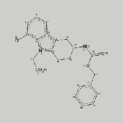 O=C(O)Cn1c2c(c3cccc(Cl)c31)CC(NC(=O)OCc1ccccc1)CC2